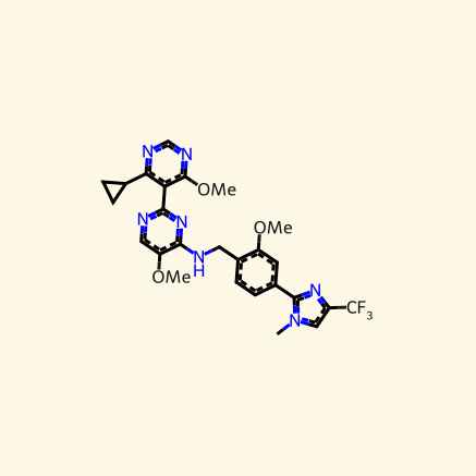 COc1cc(-c2nc(C(F)(F)F)cn2C)ccc1CNc1nc(-c2c(OC)ncnc2C2CC2)ncc1OC